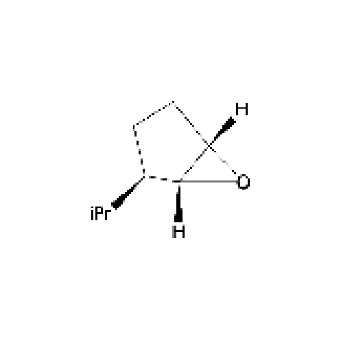 CC(C)[C@H]1CC[C@@H]2O[C@@H]21